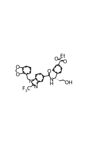 CCS(=O)(=O)c1ccc([C@H](CCO)NC(=O)c2ccc3c(c2)nc(C(F)(F)F)n3Cc2cccc3c2OCO3)cc1